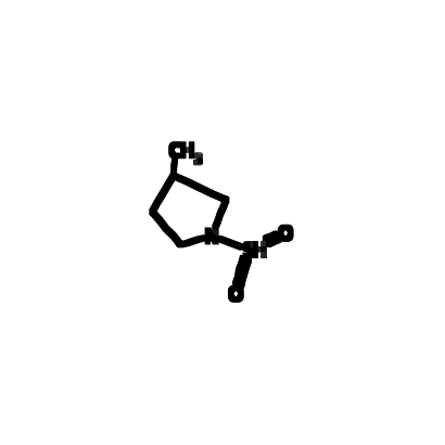 CC1CCN([SH](=O)=O)C1